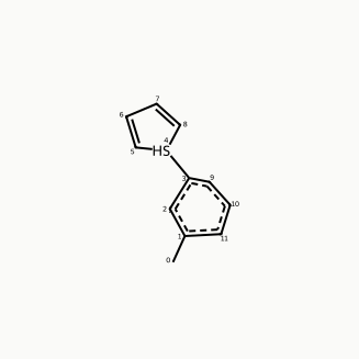 Cc1[c]c([SH]2C=CC=C2)ccc1